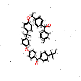 CCC(C)(C)c1ccc(C(=O)c2ccc(Oc3ccc(C(C)(C)c4ccc(OC(C)c5ccc(C(=O)c6ccc(C)cc6)cc5)cc4)cc3)cc2)cc1